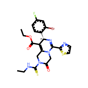 CCNC(=S)N1CC2=C(C(=O)OCC)[C@H](c3ccc(F)cc3Br)N=C(c3nccs3)N2CC1=O